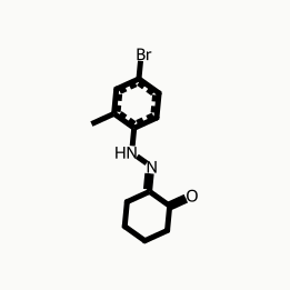 Cc1cc(Br)ccc1NN=C1CCCCC1=O